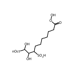 CCCCCCCCC(O)C(O)C(CCCCCCC(=O)OO)S(=O)(=O)O